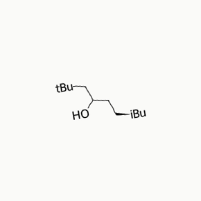 CC[C@H](C)CCC(O)CC(C)(C)C